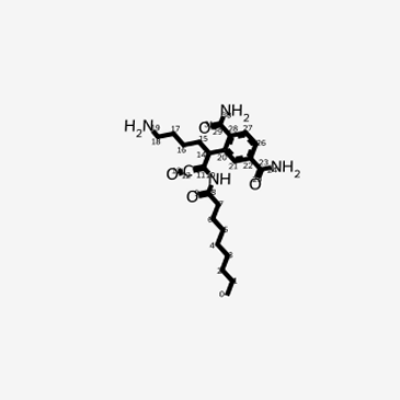 CCCCCCCCC(=O)NC(=C=O)C(CCCCN)c1cc(C(N)=O)ccc1C(N)=O